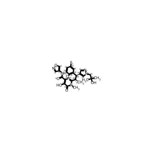 C[C@@H](c1nc(C(=O)Nc2cnoc2)c(O)c(=O)n1C)[C@H](c1cnn(CC(C)(C)O)c1)c1cc(F)ccc1Cl